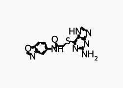 Nc1nc(SCC(=O)Nc2ccc3ocnc3c2)c2[nH]cnc2n1